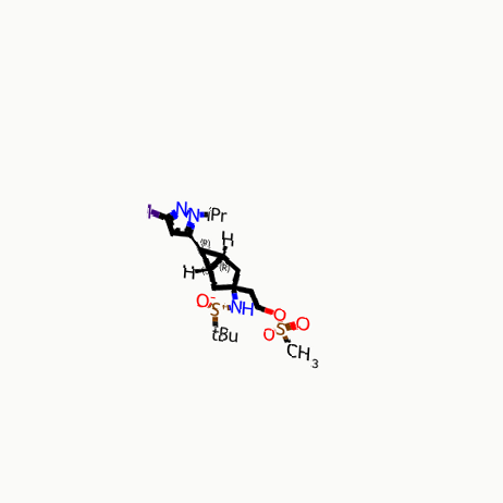 CC(C)n1nc(I)cc1[C@H]1[C@@H]2CC(CCOS(C)(=O)=O)(N[S+]([O-])C(C)(C)C)C[C@@H]21